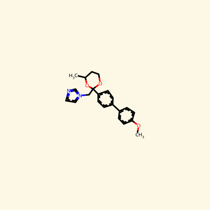 COc1ccc(-c2ccc(C3(Cn4ccnc4)OCCC(C)O3)cc2)cc1